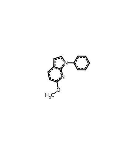 COc1ccc2ccn(-c3ccccc3)c2n1